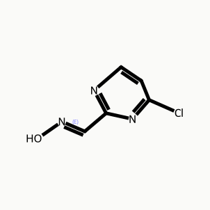 O/N=C/c1nccc(Cl)n1